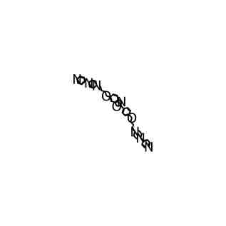 c1cc(N2CCN(CCCOc3ccc(-c4nc5ccc(OCCCN6CCN(c7ccncc7)CC6)cc5o4)cc3)CC2)ccn1